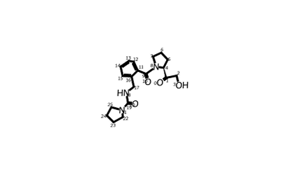 O=C(CO)[C@@H]1CCCN1C(=O)c1ccccc1CNC(=O)N1CCCC1